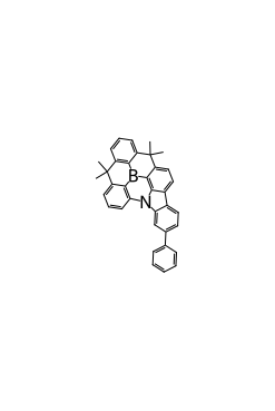 CC1(C)c2cccc3c2B2c4c1cccc4C(C)(C)c1ccc4c5ccc(-c6ccccc6)cc5n-3c4c12